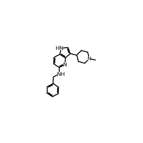 CN1CCC(c2c[nH]c3ccc(NCc4ccccc4)nc23)CC1